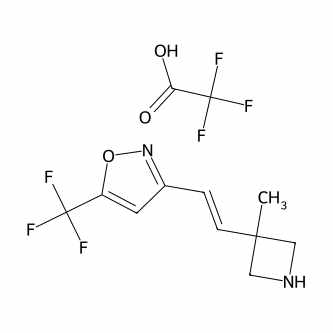 CC1(C=Cc2cc(C(F)(F)F)on2)CNC1.O=C(O)C(F)(F)F